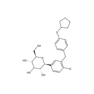 OC[C@H]1O[C@@H](c2ccc(Cl)c(Cc3ccc(OC4CCCC4)cc3)c2)[C@H](O)C(O)[C@@H]1O